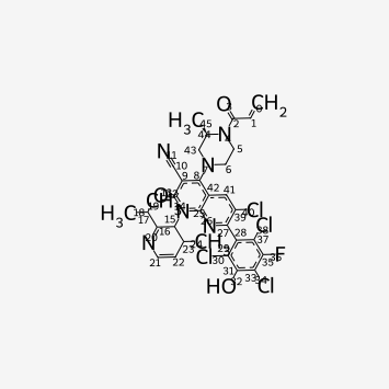 C=CC(=O)N1CCN(c2c(C#N)c(=O)n(C3C(C(C)C)=NC=CC3C)c3nc(-c4c(Cl)c(O)c(Cl)c(F)c4Cl)c(Cl)cc23)C[C@H]1C